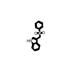 O=S(=O)(Cc1c[nH]c2ccccc12)c1ccccc1